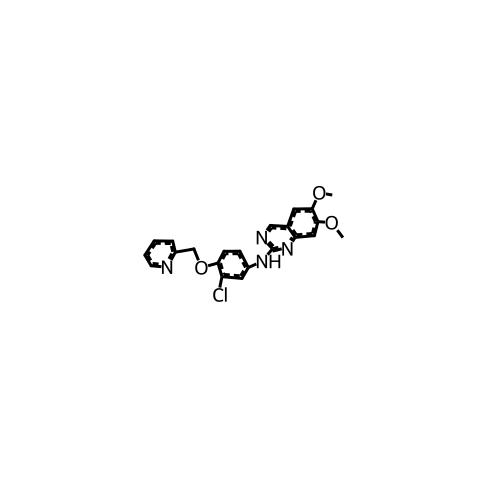 COc1cc2cnc(Nc3ccc(OCc4ccccn4)c(Cl)c3)nc2cc1OC